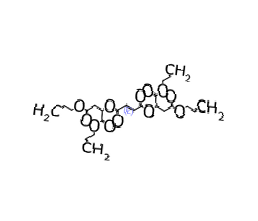 C=CCOC(=O)CC(OC(=O)/C=C/C(=O)OC(CC(=O)OCC=C)C(=O)OCC=C)C(=O)OCC=C